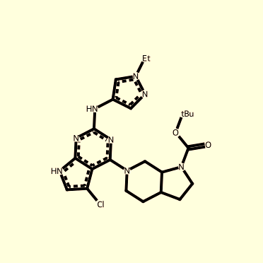 CCn1cc(Nc2nc(N3CCC4CCN(C(=O)OC(C)(C)C)C4C3)c3c(Cl)c[nH]c3n2)cn1